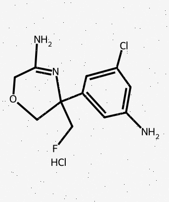 Cl.NC1=NC(CF)(c2cc(N)cc(Cl)c2)COC1